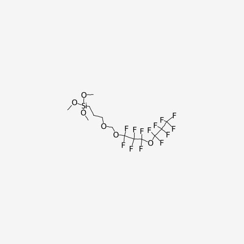 CO[Si](CCCOCOC(F)(F)C(F)(F)C(F)(F)OC(F)(F)C(F)(F)C(F)(F)F)(OC)OC